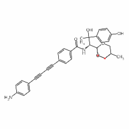 CC12COC([C@@H](NC(=O)c3ccc(C#CC#Cc4ccc(N)cc4)cc3)C(C)(O)c3ccc(O)cc3)(OC1)OC2